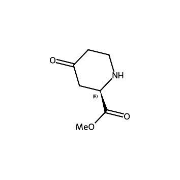 COC(=O)[C@H]1CC(=O)CCN1